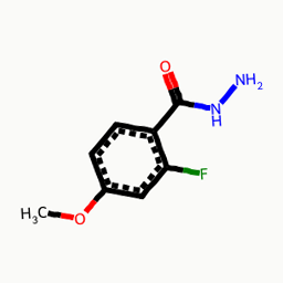 COc1ccc(C(=O)NN)c(F)c1